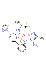 Cc1noc(NS(=O)(=O)C2(CNC(C)C(F)(F)F)CC(c3ncco3)=CC=C2c2ccccc2)c1C